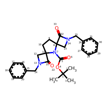 CC(C)(C)OC(=O)N1C2(CCC13CN(Cc1ccccc1)C3=O)CN(Cc1ccccc1)C2=O